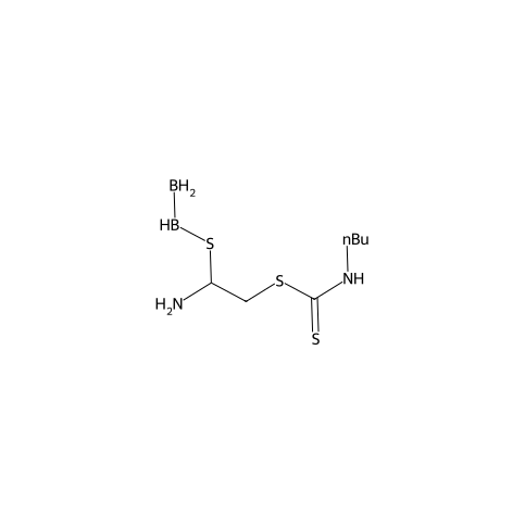 BBSC(N)CSC(=S)NCCCC